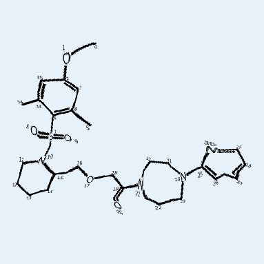 COc1cc(C)c(S(=O)(=O)N2CCCCC2COCC(=O)N2CCN(c3ccccn3)CC2)c(C)c1